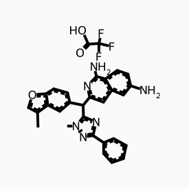 Cc1coc2ccc(C(c3cc4cc(N)ccc4c(N)n3)c3nc(-c4ccccc4)nn3C)cc12.O=C(O)C(F)(F)F